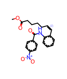 COC(=O)CCCC/C=C\c1ccccc1NC(=O)c1ccc([N+](=O)[O-])cc1